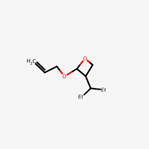 C=CCOC1OCC1C(CC)CC